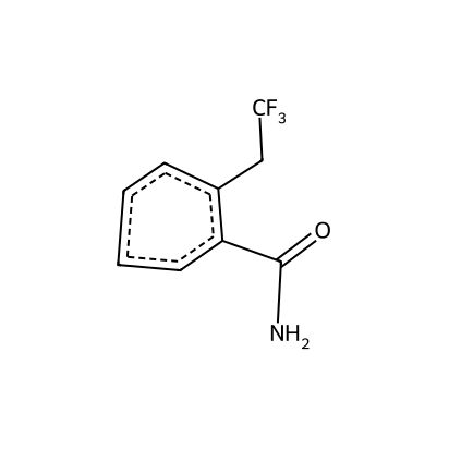 NC(=O)c1ccccc1CC(F)(F)F